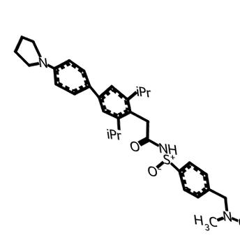 CC(C)c1cc(-c2ccc(N3CCCC3)cc2)cc(C(C)C)c1CC(=O)N[S+]([O-])c1ccc(CN(C)C)cc1